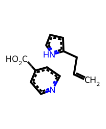 C=CCc1ccc[nH]1.O=C(O)c1ccncc1